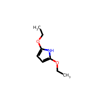 CCOc1ccc(OCC)[nH]1